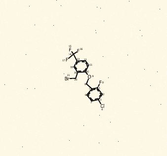 Fc1cc(Cl)ccc1COc1ccc(C(F)(F)F)cc1CBr